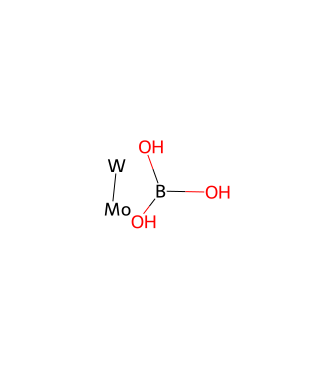 OB(O)O.[Mo][W]